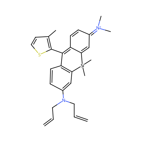 C=CCN(CC=C)c1ccc2c(c1)[Si](C)(C)C1=CC(=[N+](C)C)C=CC1=C2c1sccc1C